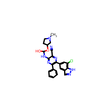 CN1CCC(OC(O)Nc2nc(-c3ccccc3)c(-c3cc(Cl)c4[nH]ncc4c3)nc2C#N)C1